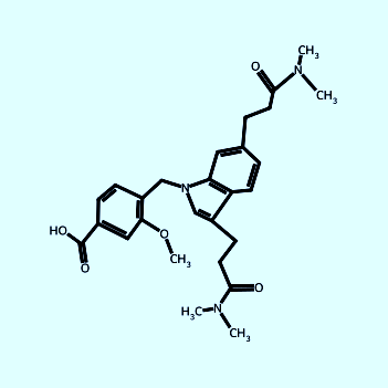 COc1cc(C(=O)O)ccc1Cn1cc(CCC(=O)N(C)C)c2ccc(CCC(=O)N(C)C)cc21